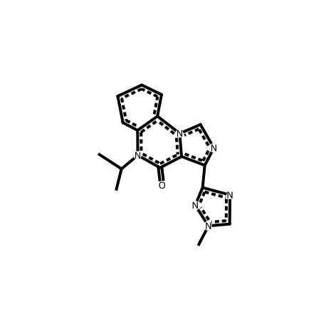 CC(C)n1c(=O)c2c(-c3ncn(C)n3)ncn2c2ccccc21